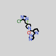 O=C(c1cccnc1-c1ccncn1)N1CCC(F)(Cc2nccnc2Cl)CC1